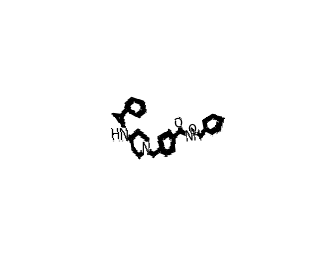 O=C(NOCc1ccccc1)c1ccc(CN2CCC(NC3CC3c3ccccc3)CC2)cc1